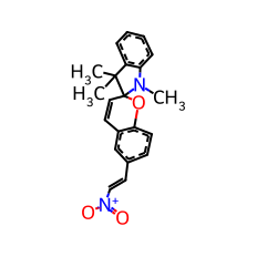 CN1c2ccccc2C(C)(C)C12C=Cc1cc(C=C[N+](=O)[O-])ccc1O2